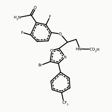 NC(=O)c1c(F)ccc(OC(CNC(=O)O)c2nc(-c3ccc(C(F)(F)F)cc3)c(Br)o2)c1F